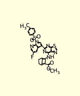 COC(=O)C1C2CCC(CC2)C1Nc1nc(-c2cn(S(=O)(=O)c3ccc(C)cc3)c3ncc(F)cc23)nc2scnc12